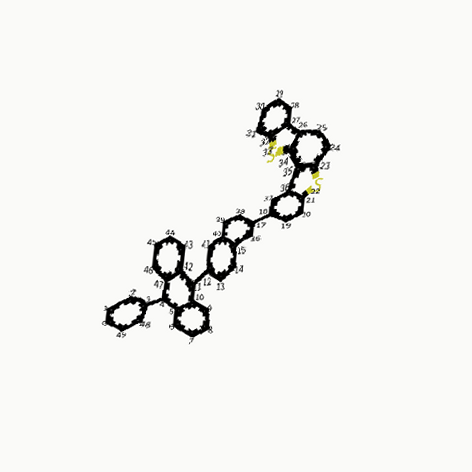 c1ccc(-c2c3ccccc3c(-c3ccc4cc(-c5ccc6sc7ccc8c9ccccc9sc8c7c6c5)ccc4c3)c3ccccc23)cc1